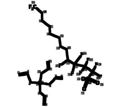 C=CC[N+](CC=C)(CC=C)CC=C.O=S(=O)([O-])C(F)(F)C(F)(F)C(F)(F)C(F)CCCCCCCC(F)(F)F